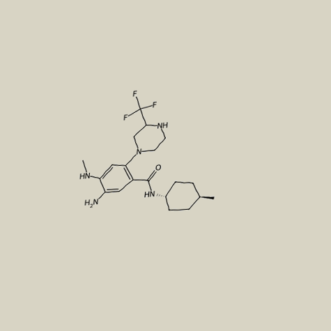 CNc1cc(N2CCNC(C(F)(F)F)C2)c(C(=O)N[C@H]2CC[C@H](C)CC2)cc1N